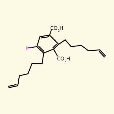 C=CCCCCc1c(I)cc(C(=O)O)c(CCCCC=C)c1C(=O)O